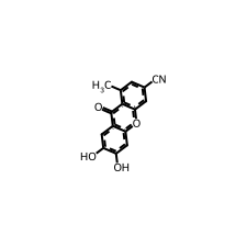 Cc1cc(C#N)cc2oc3cc(O)c(O)cc3c(=O)c12